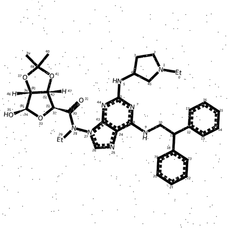 CCN1CCC(Nc2nc(NCC(c3ccccc3)c3ccccc3)c3ncn(N(CC)C(=O)[C@H]4O[C@@H](O)[C@@H]5OC(C)(C)O[C@@H]54)c3n2)C1